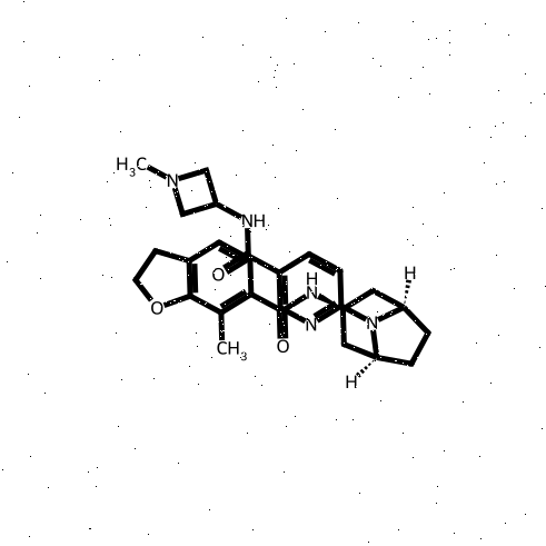 Cc1c(C(=O)N[C@H]2C[C@H]3CC[C@@H](C2)N3c2ccc(C(=O)NC3CN(C)C3)cn2)ccc2c1OCC2